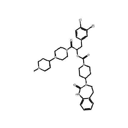 CN1CCC(N2CCN(C(=O)C(Cc3ccc(Cl)c(Cl)c3)OC(=O)N3CCC(N4CCc5ccccc5NC4=O)CC3)CC2)CC1